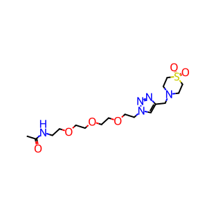 CC(=O)NCCOCCOCCOCCn1cc(CN2CCS(=O)(=O)CC2)nn1